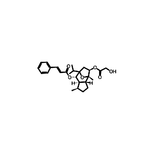 CC(C)C12C[C@@H](OC(=O)CO)[C@@](C)(O1)[C@@H]1CC[C@@H](C)[C@H]1[C@@H]2OC(=O)/C=C/c1ccccc1